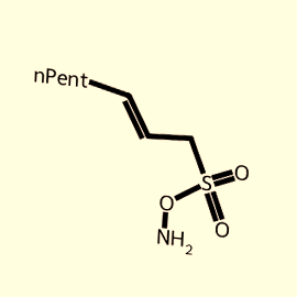 CCCCCC=CCS(=O)(=O)ON